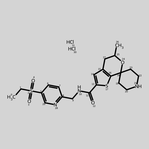 CCS(=O)(=O)c1ccc(CNC(=O)c2cc3c(s2)C2(CCNCC2)OC(C)C3)nc1.Cl.Cl